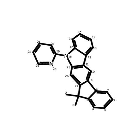 CC1(C)c2ccccc2-c2cc3c4ccccc4n(-c4ccccn4)c3cc21